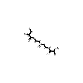 CCCC(I)C(=O)OCCN(O)CCOC(=O)C(CC)CI